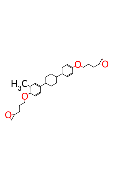 Cc1cc(C2CCC(c3ccc(OCCCC4CO4)cc3)CC2)ccc1OCCCC1CO1